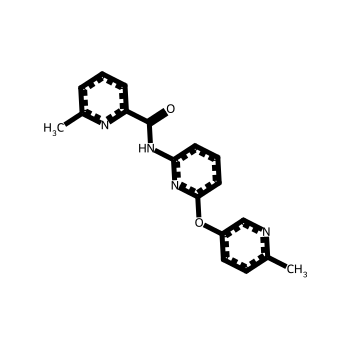 Cc1ccc(Oc2cccc(NC(=O)c3cccc(C)n3)n2)cn1